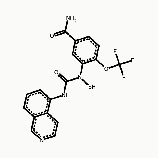 NC(=O)c1ccc(OC(F)(F)F)c(N(S)C(=O)Nc2cccc3cnccc23)c1